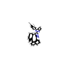 c1ccc(-c2nc(-c3cnc4c(c3)-c3ccccc3-c3cccc5cccc-4c35)nc3ccccc23)cc1